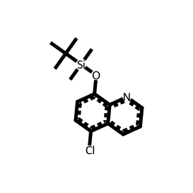 CC(C)(C)[Si](C)(C)Oc1ccc(Cl)c2cccnc12